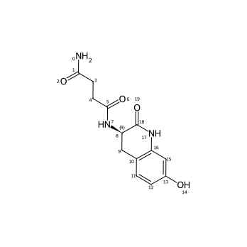 NC(=O)CCC(=O)N[C@@H]1Cc2ccc(O)cc2NC1=O